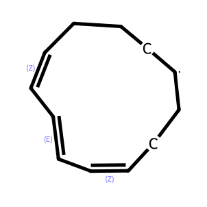 [CH]1CC\C=C/C=C/C=C\CCC1